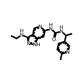 CCNc1n[nH]c2cc(NC(=O)NC(C)c3ccc(C)nc3)ncc12